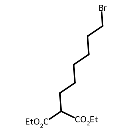 CCOC(=O)C(CCCCCCBr)C(=O)OCC